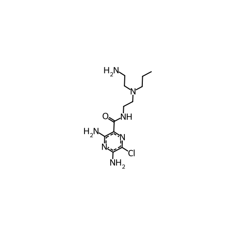 CCCN(CCN)CCNC(=O)c1nc(Cl)c(N)nc1N